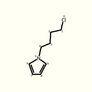 ClCCCCn1cccc1